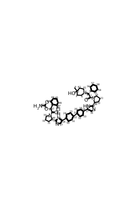 CC1(O)CCN([C@@H](C(=O)N2CCC[C@H]2c2ncc(-c3ccc(-c4ccc(-c5cnc([C@@H]6CCCN6C(=O)[C@H](OC(N)=O)c6ccccc6Cl)[nH]5)cc4)cc3)[nH]2)c2ccccc2)CC1